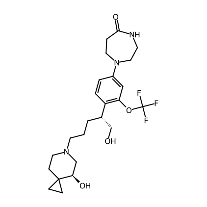 O=C1CCN(c2ccc([C@H](CO)CCCN3CCC4(CC4)[C@H](O)C3)c(OC(F)(F)F)c2)CCN1